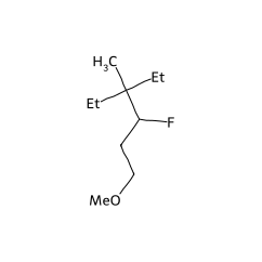 CCC(C)(CC)C(F)CCOC